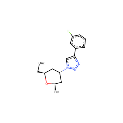 CC(=O)OC[C@H]1C[C@H](n2cc(-c3cccc(F)c3)nn2)C[C@@H](C#N)O1